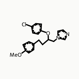 COc1ccc(CCC(Cn2ccnc2)Oc2ccc(Cl)cc2)cc1